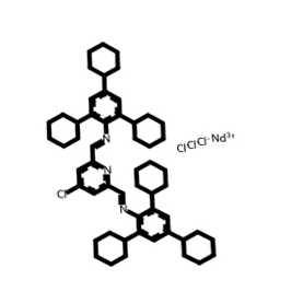 Clc1cc(C=Nc2c(C3CCCCC3)cc(C3CCCCC3)cc2C2CCCCC2)nc(C=Nc2c(C3CCCCC3)cc(C3CCCCC3)cc2C2CCCCC2)c1.[Cl-].[Cl-].[Cl-].[Nd+3]